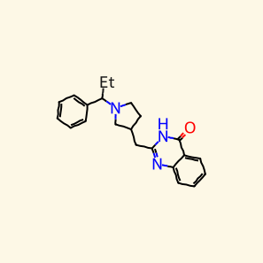 CCC(c1ccccc1)N1CCC(Cc2nc3ccccc3c(=O)[nH]2)C1